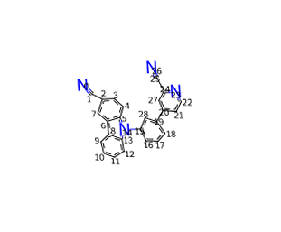 N#Cc1ccc2c(c1)c1ccccc1n2-c1cccc(-c2ccnc(C#N)c2)c1